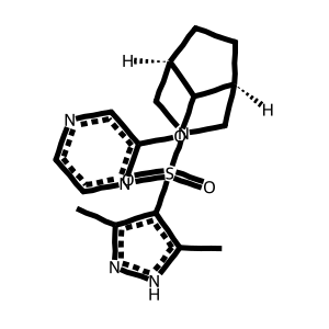 Cc1n[nH]c(C)c1S(=O)(=O)N1C[C@H]2CC[C@@H](C1)C2Oc1cnccn1